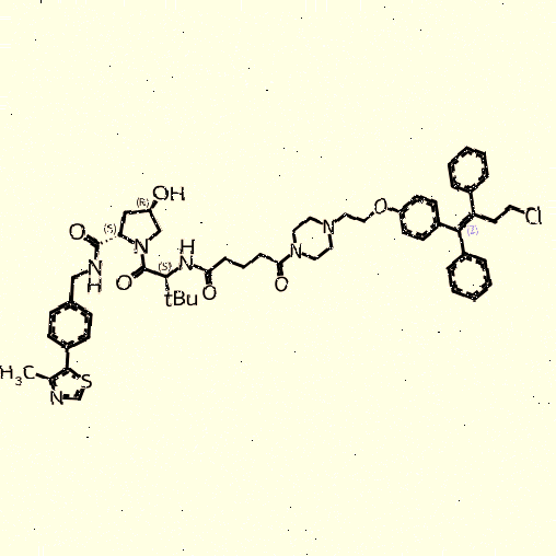 Cc1ncsc1-c1ccc(CNC(=O)[C@@H]2C[C@@H](O)CN2C(=O)[C@@H](NC(=O)CCCC(=O)N2CCN(CCOc3ccc(/C(=C(/CCCl)c4ccccc4)c4ccccc4)cc3)CC2)C(C)(C)C)cc1